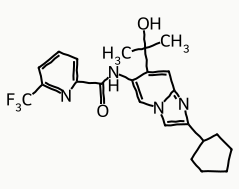 CC(C)(O)c1cc2nc(C3CCCCC3)cn2cc1NC(=O)c1cccc(C(F)(F)F)n1